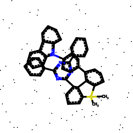 CS1(C)c2cccc(-c3ccc(-n4c5ccccc5c5ccccc54)cc3)c2-c2c(-c3nc(-c4ccccc4)nc(-c4ccccc4)n3)cccc21